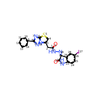 O=C(Cc1csc2nc(-c3ccccc3)nn12)NN=C1C(=O)Nc2ccc(I)cc21